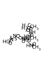 CC(=O)NCCCCC(NC(=O)C(C)NC(=O)CNC(=O)OC(C)(C)C)C(=O)Nc1ccc2c(ccc3nc(C4=NC(C(=O)O)CS4)sc32)c1